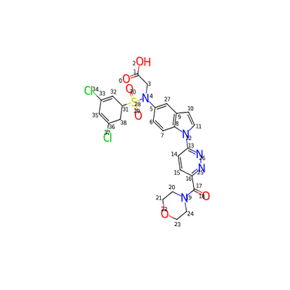 O=C(O)CN(c1ccc2c(ccn2-c2ccc(C(=O)N3CCOCC3)nn2)c1)S(=O)(=O)C1C=C(Cl)C=C(Cl)C1